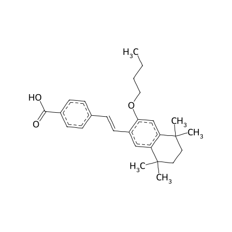 CCCCOc1cc2c(cc1C=Cc1ccc(C(=O)O)cc1)C(C)(C)CCC2(C)C